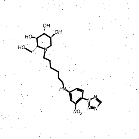 O=[N+]([O-])c1cc(NCCCCCCN2C[C@H](O)[C@@H](O)[C@H](O)[C@H]2CO)ccc1-n1ncnn1